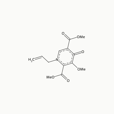 C=CCn1cc(C(=O)OC)c(=O)c(OC)c1C(=O)OC